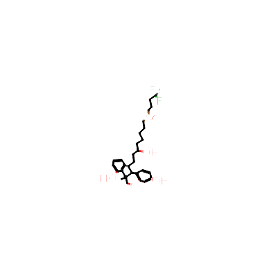 CC1(c2ccccc2O)COc2cc(O)ccc2C1CCCC(O)CCCCC[S+]([O-])CCCC(F)(F)C(F)(F)F